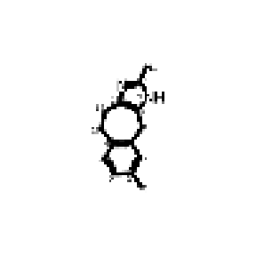 Cc1ccc2c(c1)Cc1[nH]c(C)nc1CC2